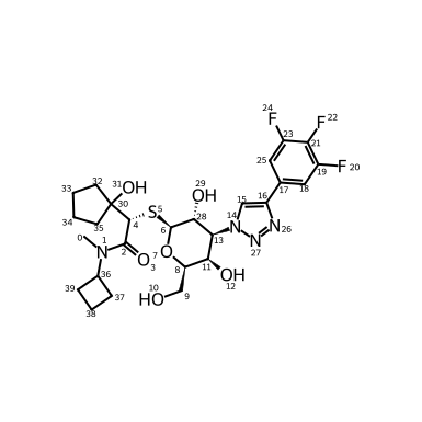 CN(C(=O)[C@@H](S[C@@H]1O[C@H](CO)[C@H](O)[C@H](n2cc(-c3cc(F)c(F)c(F)c3)nn2)[C@H]1O)C1(O)CCCC1)C1CCC1